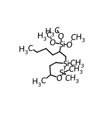 CCCCC(C[Si]1(C)CCC(C)O[Si]1(C)C)[Si](OC)(OC)OC